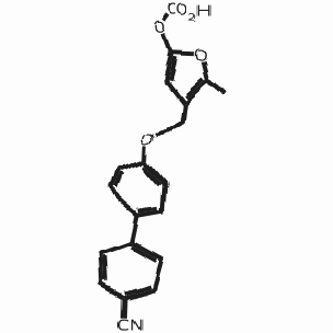 Cc1oc(OC(=O)O)cc1COc1ccc(-c2ccc(C#N)cc2)cc1